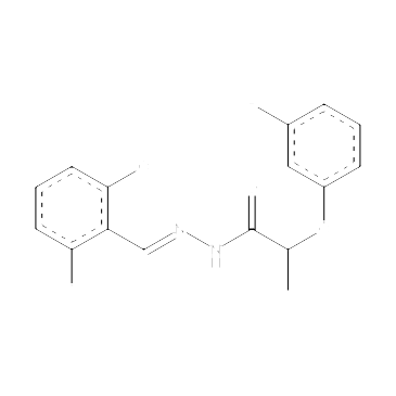 CC(Oc1cccc(F)c1)C(=O)NN=Cc1c(O)cccc1Cl